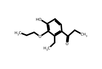 CCCOc1c(O)ccc(C(=O)CC)c1CC